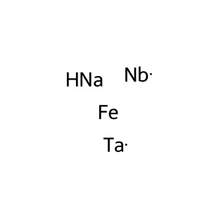 [Fe].[NaH].[Nb].[Ta]